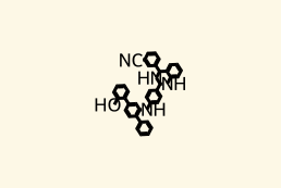 N#Cc1cccc(C2NC(c3ccc(Nc4cc(-c5ccccc5O)ccc4-c4ccccc4)cc3)Nc3ccccc32)c1